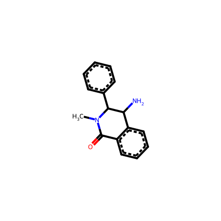 CN1C(=O)c2ccccc2C(N)C1c1ccccc1